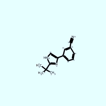 CC(C)(C)c1nc(-c2cccc(C#N)c2)c[nH]1